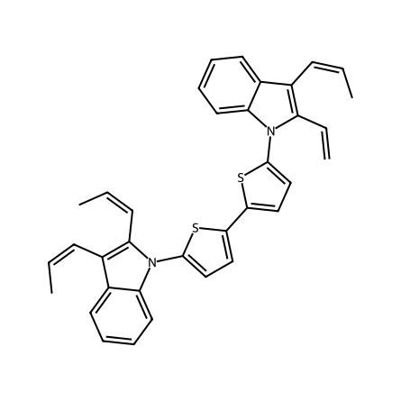 C=Cc1c(/C=C\C)c2ccccc2n1-c1ccc(-c2ccc(-n3c(/C=C\C)c(/C=C\C)c4ccccc43)s2)s1